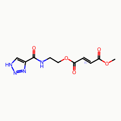 COC(=O)/C=C/C(=O)OCCNC(=O)c1c[nH]nn1